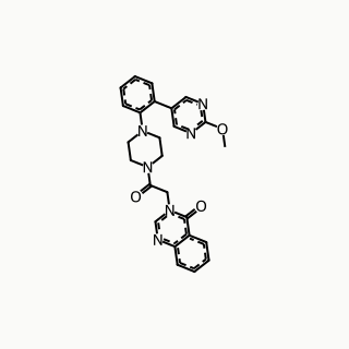 COc1ncc(-c2ccccc2N2CCN(C(=O)Cn3cnc4ccccc4c3=O)CC2)cn1